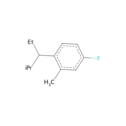 C[CH]C(c1ccc(F)cc1C)C(C)C